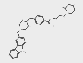 C=C(NCCCN1CCCCC1C)c1ccc(CC2CCN(Cc3ccc4c(c3)c3ccccc3n4CC)CC2)cc1